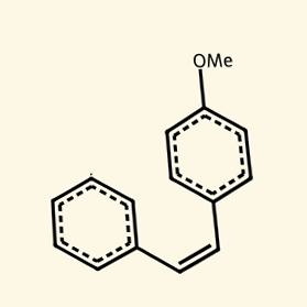 COc1ccc(/C=C\c2c[c]ccc2)cc1